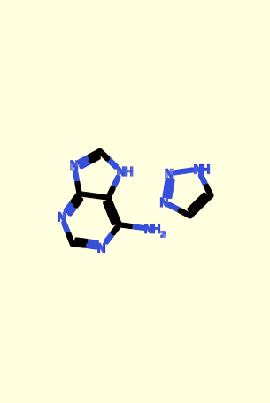 Nc1ncnc2nc[nH]c12.c1c[nH]nn1